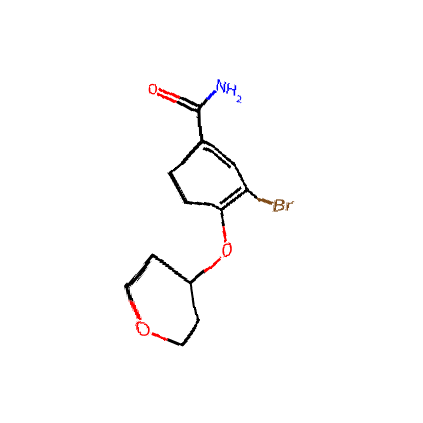 NC(=O)C1=CC(Br)=C(OC2CCOCC2)CC1